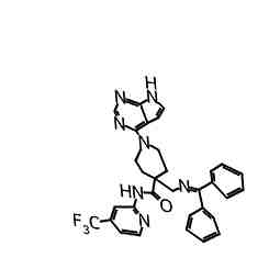 O=C(Nc1cc(C(F)(F)F)ccn1)C1(CN=C(c2ccccc2)c2ccccc2)CCN(c2ncnc3[nH]ccc23)CC1